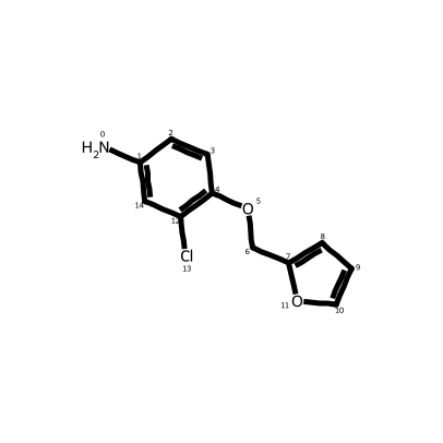 Nc1ccc(OCc2ccco2)c(Cl)c1